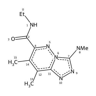 CCNC(=O)c1nn2c(NC)nnc2c(C)c1C